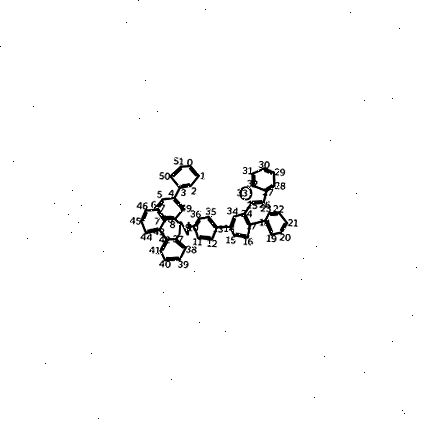 c1ccc(-c2cccc(N(c3ccc(-c4ccc(-c5ccccc5)c(-c5cc6ccccc6o5)c4)cc3)c3ccccc3-c3ccccc3)c2)cc1